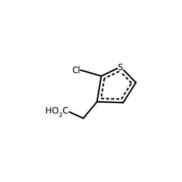 O=C(O)Cc1ccsc1Cl